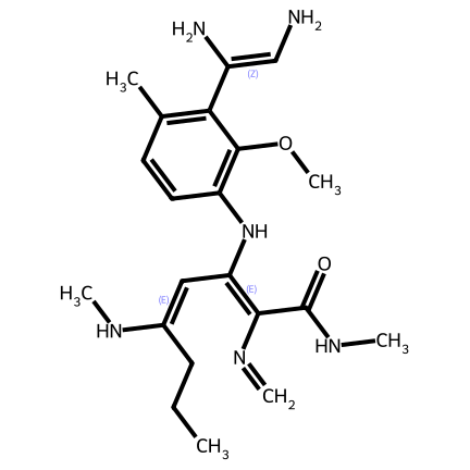 C=N/C(C(=O)NC)=C(\C=C(/CCC)NC)Nc1ccc(C)c(/C(N)=C/N)c1OC